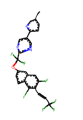 Cc1ccc(-c2cnc(C(F)(F)Oc3ccc4c(F)c(C#CC(F)(F)F)c(F)cc4c3)nc2)nc1